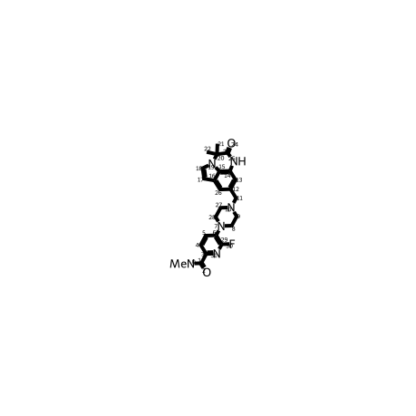 CNC(=O)c1ccc(N2CCN(Cc3cc4c5c(ccn5C(C)(C)C(=O)N4)c3)CC2)c(F)n1